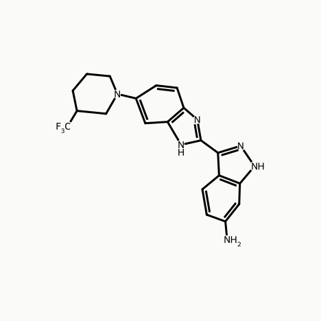 Nc1ccc2c(-c3nc4ccc(N5CCCC(C(F)(F)F)C5)cc4[nH]3)n[nH]c2c1